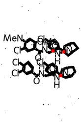 CNc1cc(OC)c(C(=O)NCC(=O)NC2CC3CCC(C2)N3Cc2ccc(Cl)cc2)cc1Cl.O=C(CNC(=O)c1ccc(Cl)c(Cl)c1)NC1CC2CCC(C1)N2Cc1ccc(Cl)cc1